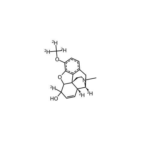 [2H]C([2H])([2H])Oc1ccc2c3c1OC1C([2H])(O)C=C[C@]4([2H])[C@@]31CCN(C)[C@]4([2H])C2